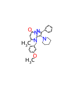 COc1cccc(Cn2c(C)cc(=O)n3nc(-c4ccccc4)c(N4CCCCC4)c23)c1